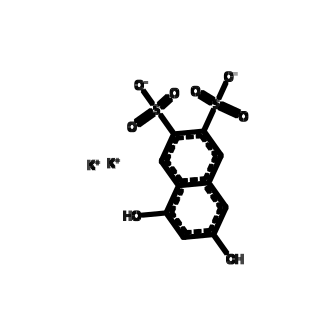 O=S(=O)([O-])c1cc2cc(O)cc(O)c2cc1S(=O)(=O)[O-].[K+].[K+]